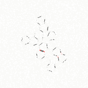 c1ccc(-c2ccccc2N(c2ccccc2)c2ccccc2-c2cccc3c2-c2ccccc2C32c3ccc4ccccc4c3Oc3c2ccc2ccccc32)cc1